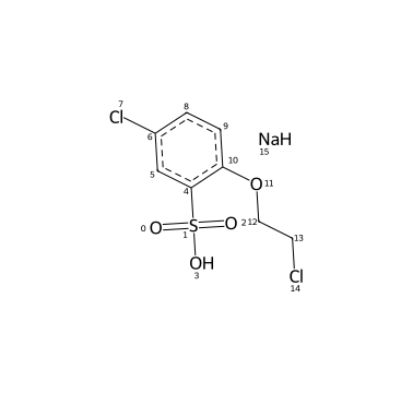 O=S(=O)(O)c1cc(Cl)ccc1OCCCl.[NaH]